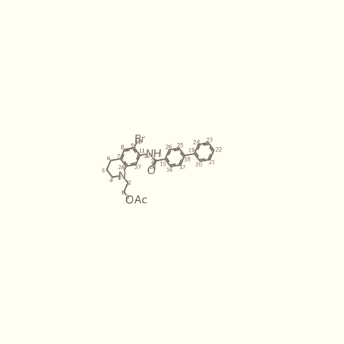 CC(=O)OCCN1CCCc2cc(Br)c(NC(=O)c3ccc(-c4ccccc4)cc3)cc21